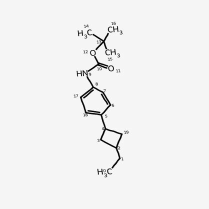 CCC1CC(c2ccc(NC(=O)OC(C)(C)C)cc2)C1